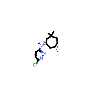 C[C@H]1CCC(C)(C)C[C@H](N(C)c2ccc(Cl)nn2)C1